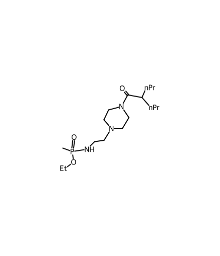 CCCC(CCC)C(=O)N1CCN(CCNP(C)(=O)OCC)CC1